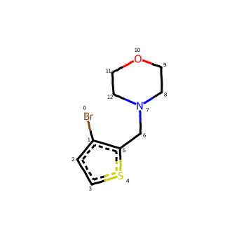 Brc1ccsc1CN1CCOCC1